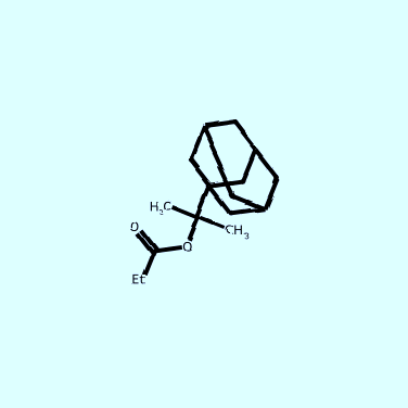 CCC(=O)OC(C)(C)C12CC3CC(CC(C3)C1)C2